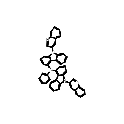 c1ccc(N(c2cccc3c2c2ccccc2n3-c2cnc3ccccc3c2)c2cccc3c2c2ccccc2n3-c2cnc3ccccc3c2)cc1